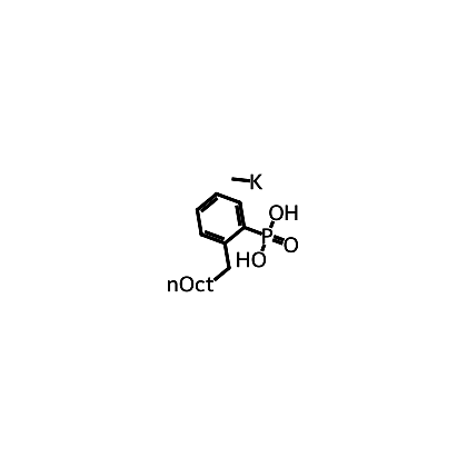 CCCCCCCCCc1ccccc1P(=O)(O)O.[CH3][K]